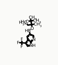 CCC(C)(OBc1cnc2[nH]cc(C(F)(F)F)c2c1)C(C)(C)C